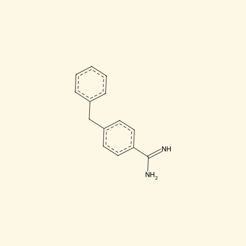 N=C(N)c1ccc(Cc2ccccc2)cc1